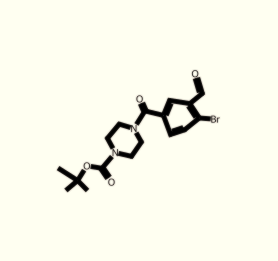 CC(C)(C)OC(=O)N1CCN(C(=O)c2ccc(Br)c(C=O)c2)CC1